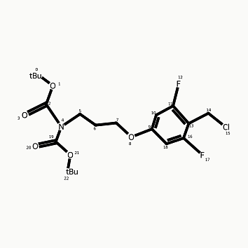 CC(C)(C)OC(=O)N(CCCOc1cc(F)c(CCl)c(F)c1)C(=O)OC(C)(C)C